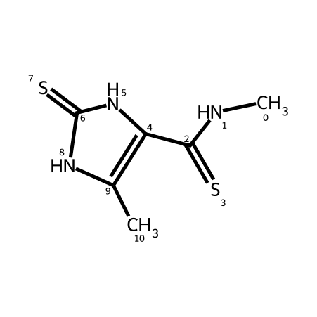 CNC(=S)c1[nH]c(=S)[nH]c1C